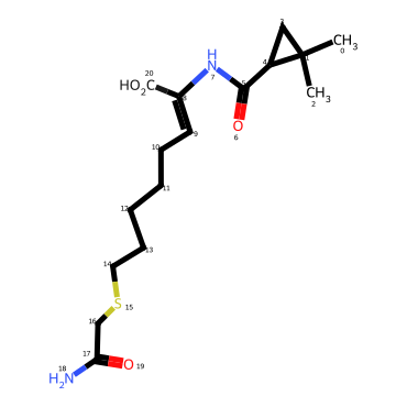 CC1(C)CC1C(=O)NC(=CCCCCCSCC(N)=O)C(=O)O